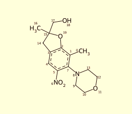 Cc1c2c(cc([N+](=O)[O-])c1N1CCOCC1)CC(C)(CO)O2